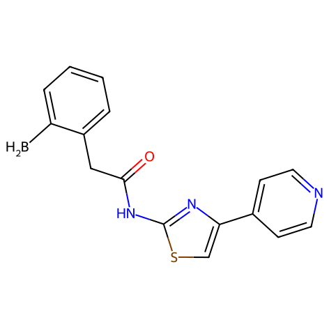 Bc1ccccc1CC(=O)Nc1nc(-c2ccncc2)cs1